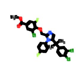 COC(=O)c1cc(F)c(OCc2ncc(C(C)(C)c3ccc(Cl)c(Cl)c3)n2-c2ccc(F)cc2)c(Cl)c1